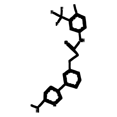 CNc1ccc(-c2cccc(CCC(=O)Nc3ccc(C)c(C(F)(F)F)c3)c2)cn1